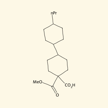 CCCC1CCC(C2CCC(C(=O)O)(C(=O)OC)CC2)CC1